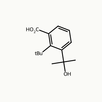 CC(C)(C)c1c(C(=O)O)cccc1C(C)(C)O